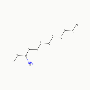 [CH2]CCCCCCCCC(N)CC